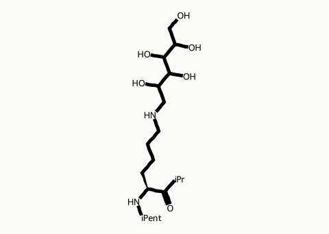 CCCC(C)N[C@@H](CCCCNCC(O)C(O)C(O)C(O)CO)C(=O)C(C)C